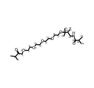 CC(C)C(=O)COCCOCCOCCOCCOC(C)(C)C(F)CNC(=O)C(C)C